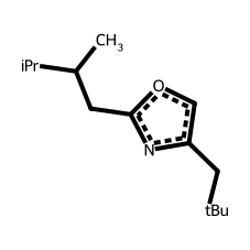 CC(C)C(C)Cc1nc(CC(C)(C)C)co1